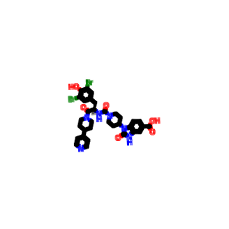 O=C(O)c1ccc2c(c1)[nH]c(=O)n2C1CCN(C(=O)N[C@H](Cc2cc(Br)c(O)c(Br)c2)C(=O)N2CCC(c3ccncc3)CC2)CC1